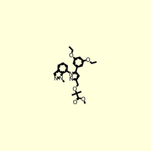 CCOc1cc(OCC)cc(-c2cc(COC(C)(C)C(=O)OC)nn2-c2cccc3cnn(C)c23)c1